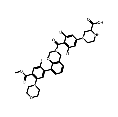 COC(=O)c1cc(F)c(-c2cccc3c2OCN(C(=O)c2c(Cl)cc(N4CCNC(C(=O)O)C4)cc2Cl)C3)cc1N1CCOCC1